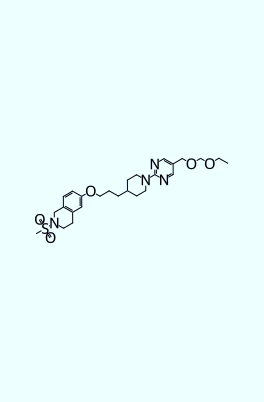 CCOCOCc1cnc(N2CCC(CCCOc3ccc4c(c3)CCN(S(C)(=O)=O)C4)CC2)nc1